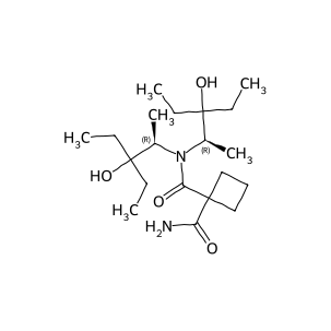 CCC(O)(CC)[C@@H](C)N(C(=O)C1(C(N)=O)CCC1)[C@H](C)C(O)(CC)CC